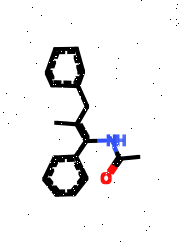 CC(=O)N/C(=C(/C)Cc1ccccc1)c1ccccc1